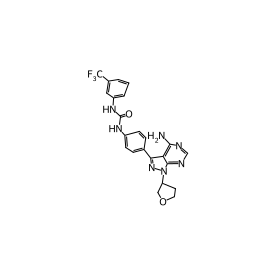 Nc1ncnc2c1c(-c1ccc(NC(=O)Nc3cccc(C(F)(F)F)c3)cc1)nn2C1CCOC1